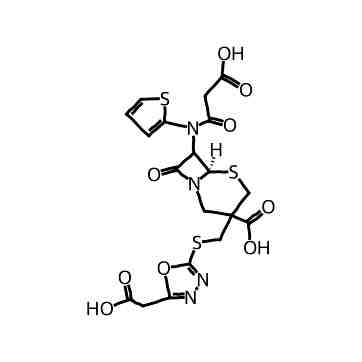 O=C(O)CC(=O)N(c1cccs1)C1C(=O)N2CC(CSc3nnc(CC(=O)O)o3)(C(=O)O)CS[C@H]12